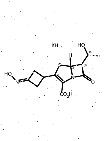 C[C@@H](O)[C@H]1C(=O)N2C(C(=O)O)=C(C3CC(=NO)C3)S[C@H]12.[KH]